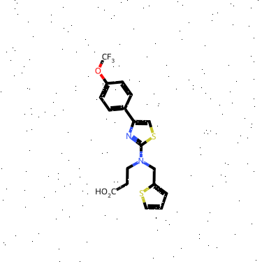 O=C(O)CCN(Cc1cccs1)c1nc(-c2ccc(OC(F)(F)F)cc2)cs1